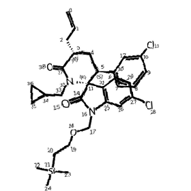 C=CC[C@@H]1C[C@@H](c2cccc(Cl)c2)[C@@]2(C(=O)N(COCC[Si](C)(C)C)c3cc(Cl)ccc32)N(CC2CC2)C1=O